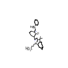 CC1(C)C(/C=C/C2=C(Cl)C(=C/Nc3ccccc3)/CCC2)=[N+](CCCS(=O)(=O)O)c2ccccc21